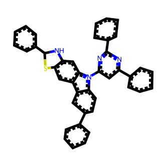 c1ccc(-c2ccc3c(c2)c2cc4c(cc2n3-c2cc(-c3ccccc3)nc(-c3ccccc3)n2)NC(c2ccccc2)S4)cc1